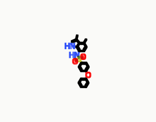 Cc1ccc(NS(=O)(=O)c2ccc(Oc3ccccc3)cc2)c2[nH]cc(C)c12